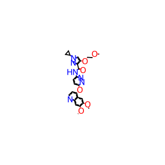 COCCOc1cn(C2CC2)nc1C(=O)Nc1ccc(Oc2ccnc3cc(OC)c(OC)cc23)nn1